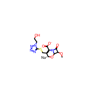 COC1C(=O)N2C(C(=O)[O-])=C(CSc3nnnn3CCO)COC12.[Na+]